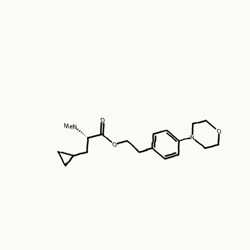 CN[C@@H](CC1CC1)C(=O)OCCc1ccc(N2CCOCC2)cc1